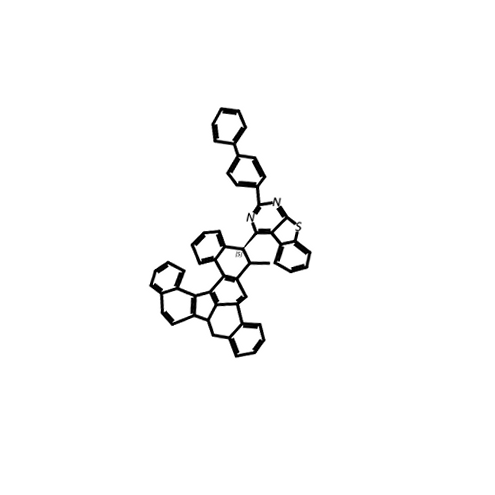 CC1c2cc3c4c(c2-c2ccccc2[C@H]1c1nc(-c2ccc(-c5ccccc5)cc2)nc2sc5ccccc5c12)-c1c(ccc2ccccc12)C4Cc1ccccc1-3